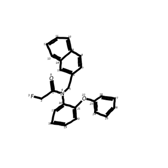 O=C(CF)N(Cc1ccc2ccccc2c1)c1ccccc1Oc1ccccc1